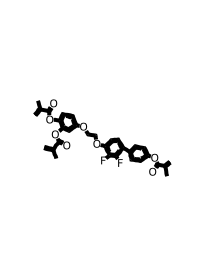 C=C(C)C(=O)Oc1ccc(-c2ccc(OCCOc3ccc(OC(=O)C(=C)C)c(OC(=O)C(=C)C)c3)c(F)c2F)cc1